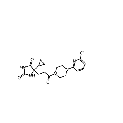 O=C1NC(=O)C(CCC(=O)N2CCN(c3ccnc(Cl)n3)CC2)(C2CC2)N1